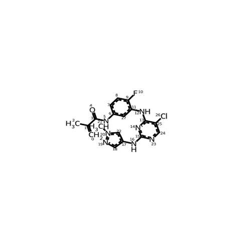 C=C(C)C(=O)Nc1ccc(F)c(Nc2nc(Nc3cnn(C)c3)ncc2Cl)c1